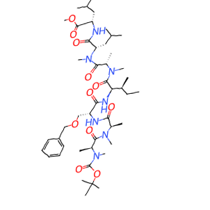 CC[C@H](C)[C@@H](NC(=O)[C@@H](COCc1ccccc1)NC(=O)[C@@H](C)N(C)C(=O)[C@H](C)N(C)C(=O)OC(C)(C)C)C(=O)N(C)[C@@H](C)C(=O)N(C)[C@@H](CC(C)C)C(=O)N[C@@H](CC(C)C)C(=O)OC